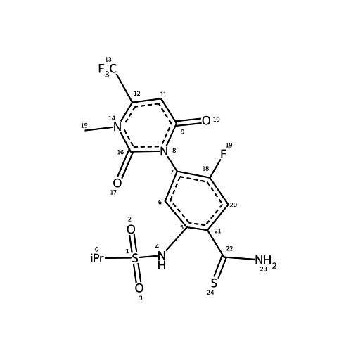 CC(C)S(=O)(=O)Nc1cc(-n2c(=O)cc(C(F)(F)F)n(C)c2=O)c(F)cc1C(N)=S